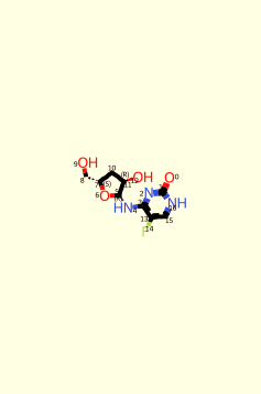 O=c1nc(N[C@@H]2O[C@H](CO)C[C@H]2O)c(F)c[nH]1